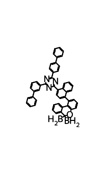 BC1(B)Oc2cccc(-c3ccc(-c4nc(-c5ccc(-c6ccccc6)cc5)nc(-c5cccc(-c6ccccc6)c5)n4)c4ccccc34)c2-c2ccccc21